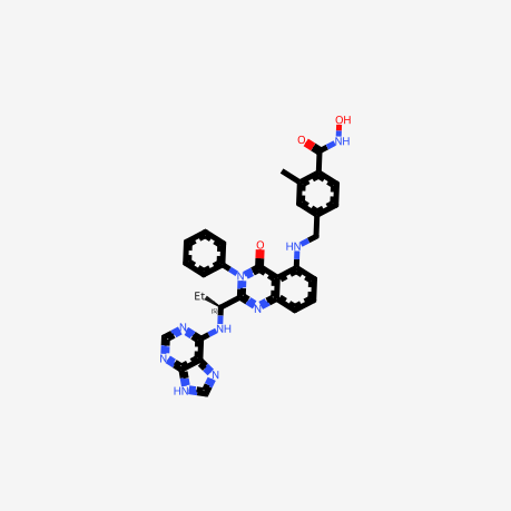 CC[C@H](Nc1ncnc2[nH]cnc12)c1nc2cccc(NCc3ccc(C(=O)NO)c(C)c3)c2c(=O)n1-c1ccccc1